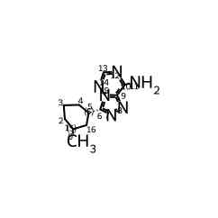 C[C@H]1CCC[C@H](c2nnc3c(N)ncnn23)C1